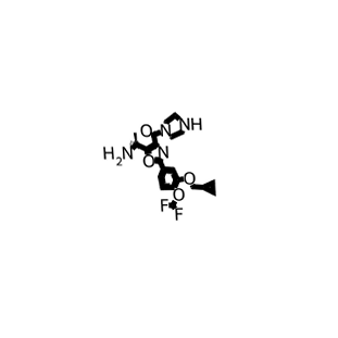 C[C@H](N)c1oc(-c2ccc(OC(F)F)c(OCC3CC3)c2)nc1C(=O)N1CCNCC1